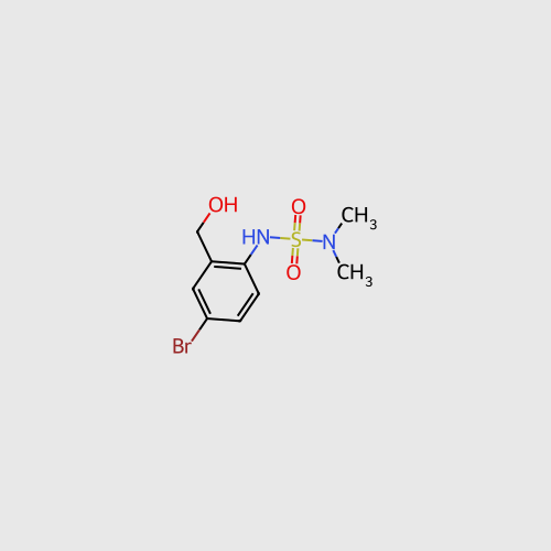 CN(C)S(=O)(=O)Nc1ccc(Br)cc1CO